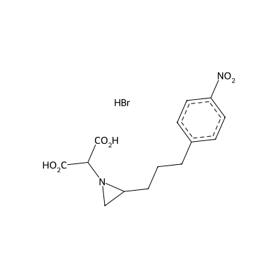 Br.O=C(O)C(C(=O)O)N1CC1CCCc1ccc([N+](=O)[O-])cc1